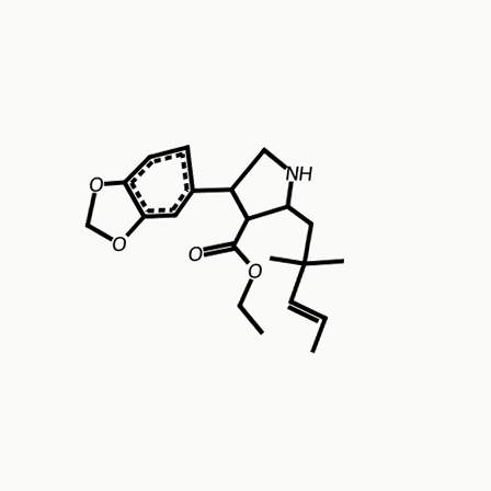 CC=CC(C)(C)CC1NCC(c2ccc3c(c2)OCO3)C1C(=O)OCC